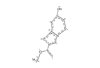 COC(=O)c1cc2ccc(O)cc2o1